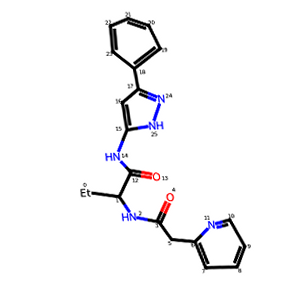 CCC(NC(=O)Cc1ccccn1)C(=O)Nc1cc(-c2ccccc2)n[nH]1